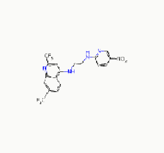 O=[N+]([O-])c1ccc(NCCNc2cc(C(F)(F)F)nc3cc(C(F)(F)F)ccc23)nc1